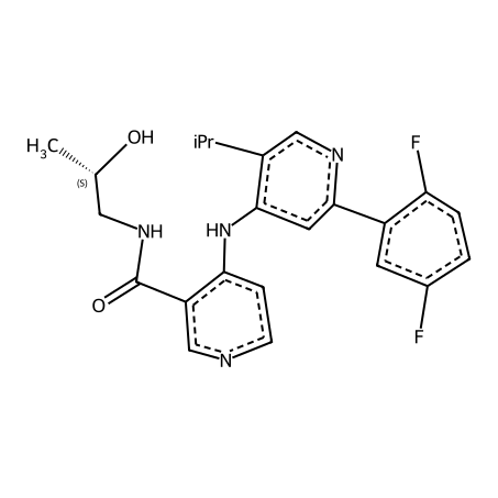 CC(C)c1cnc(-c2cc(F)ccc2F)cc1Nc1ccncc1C(=O)NC[C@H](C)O